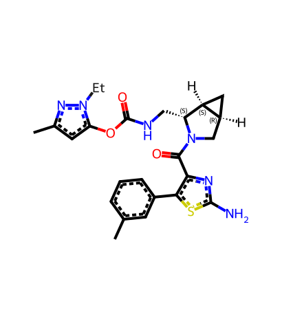 CCn1nc(C)cc1OC(=O)NC[C@@H]1[C@H]2C[C@H]2CN1C(=O)c1nc(N)sc1-c1cccc(C)c1